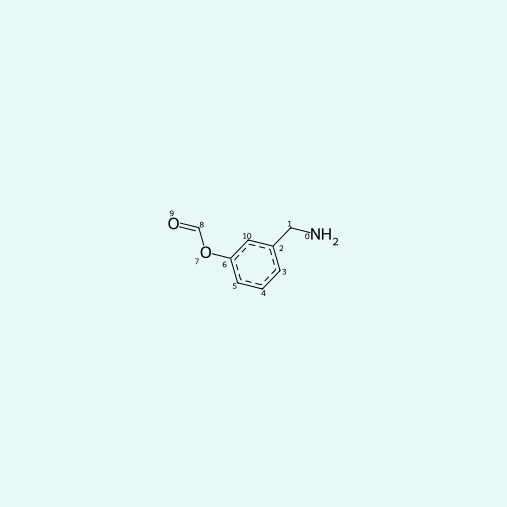 NCc1cccc(OC=O)c1